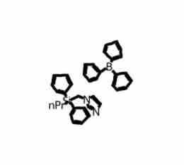 CCC[Si](Cn1ccnc1)(c1ccccc1)c1ccccc1.c1ccc(B(c2ccccc2)c2ccccc2)cc1